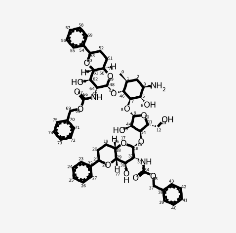 C[C@H]1C[C@@H](N)[C@H](O)[C@@H](O[C@@H]2O[C@H](CO)[C@@H](O[C@H]3O[C@H]4CCC(c5ccccc5)O[C@H]4[C@H](O)[C@H]3NC(=O)OCc3ccccc3)[C@H]2O)[C@@H]1O[C@H]1O[C@@H]2CCC(c3ccccc3)O[C@H]2[C@H](O)[C@H]1NC(=O)OCc1ccccc1